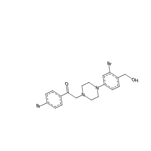 O=C(CN1CCN(c2ccc(CO)c(Br)c2)CC1)c1ccc(Br)cc1